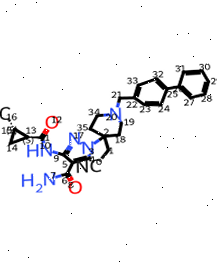 N#CCC1(n2cc(C(N)=O)c(NC(=O)[C@H]3C[C@@H]3C#N)n2)CCN(Cc2ccc(-c3ccccc3)cc2)CC1